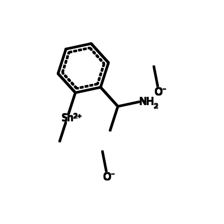 C[O-].C[O-].[CH3][Sn+2][c]1ccccc1C(C)N